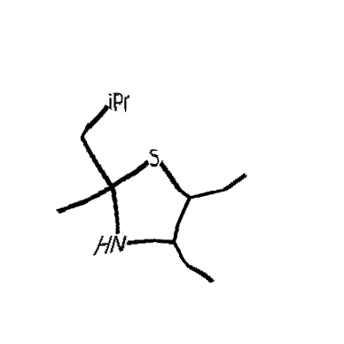 CC(C)CC1(C)NC(C)C(C)S1